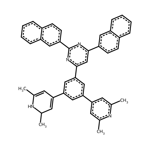 CC1=CC(c2cc(-c3cc(C)nc(C)c3)cc(-c3cc(-c4ccc5ccccc5c4)nc(-c4ccc5ccccc5c4)n3)c2)=CC(C)N1